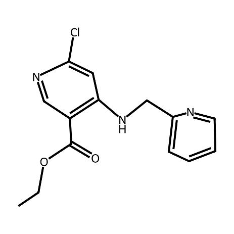 CCOC(=O)c1cnc(Cl)cc1NCc1ccccn1